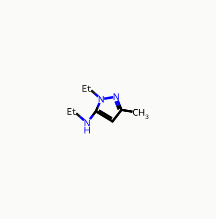 CCNc1cc(C)nn1CC